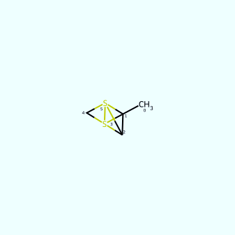 CC12C3S14CS324